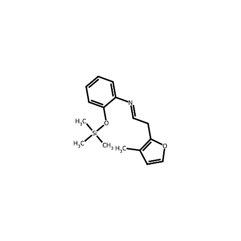 Cc1ccoc1CC=Nc1ccccc1O[Si](C)(C)C